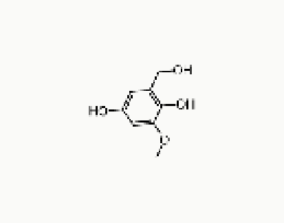 COc1cc(O)cc(CO)c1O